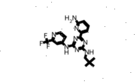 CC(C)(C)CNc1nc(Nc2ccnc(C(F)(F)F)c2)nc(-c2cccc(N)n2)n1